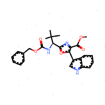 COC(=O)c1nc([C@@H](NC(=O)OCc2ccccc2)C(C)(C)C)oc1-c1c[nH]c2ccccc12